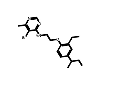 CCc1cc(C(C)CC)ccc1OCCNc1ncnc(C)c1Br